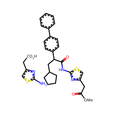 COC(=O)Cc1csc(NC(=O)C(CC2CCCC2)c2ccc(-c3ccccc3)cc2)n1.Nc1nc(CC(=O)O)cs1